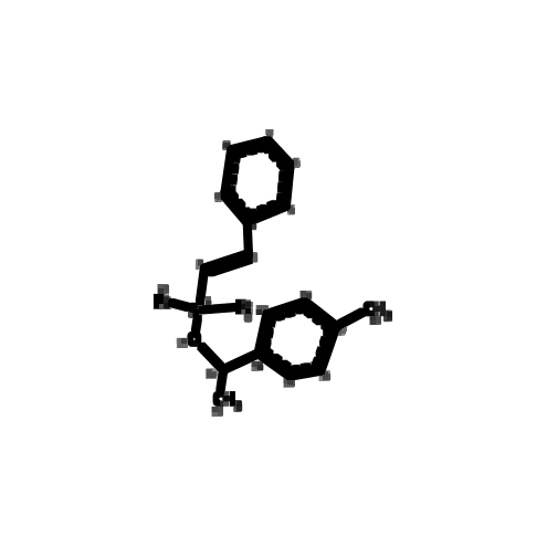 CC[Si](/C=C/c1ccccc1)(CC)OC(C)c1ccc(C)cc1